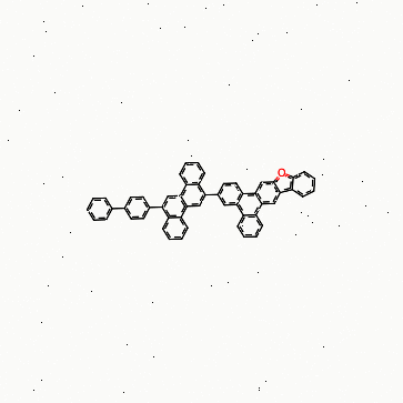 c1ccc(-c2ccc(-c3cc4c5ccccc5c(-c5ccc6c(c5)c5ccccc5c5cc7c(cc65)oc5ccccc57)cc4c4ccccc34)cc2)cc1